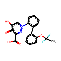 CC(F)(F)Oc1ccccc1-c1ccccc1-n1cc(O)c(=O)c(C(=O)O)n1